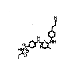 CCC(=O)NS(=O)(=O)c1ccc(Nc2ncc(C)c(Nc3ccc(CCC#N)cc3)n2)cc1